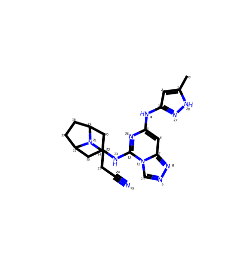 Cc1cc(Nc2cc3nncn3c(NC3CC4CCC(C3)N4CCC#N)n2)n[nH]1